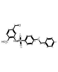 O=C(O)c1ccc(CCl)cc1NS(=O)(=O)c1ccc(OCc2ccccc2)cc1